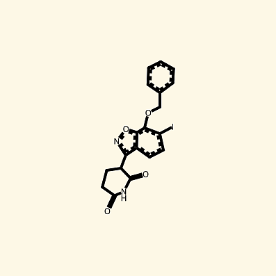 O=C1CCC(c2noc3c(OCc4ccccc4)c(I)ccc23)C(=O)N1